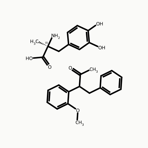 COc1ccccc1C(Cc1ccccc1)C(C)=O.C[C@](N)(Cc1ccc(O)c(O)c1)C(=O)O